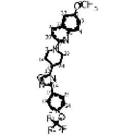 COc1ccc2nc(N3CCC(c4nc(-c5ccc(OC(F)(F)F)cc5)no4)CC3)ccc2c1